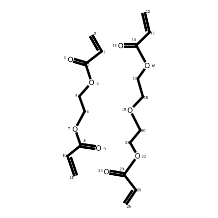 C=CC(=O)OCCOC(=O)C=C.C=CC(=O)OCCOCCOC(=O)C=C